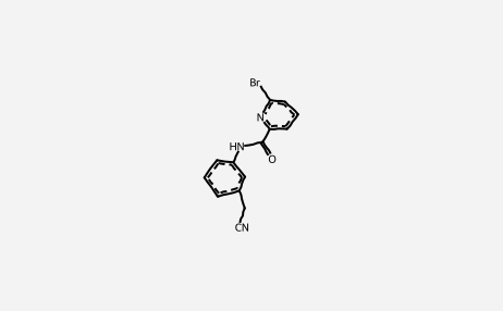 N#CCc1cccc(NC(=O)c2cccc(Br)n2)c1